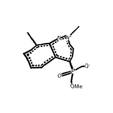 COP(=O)([O-])c1c[n+](C)nc2c(C)cccc12